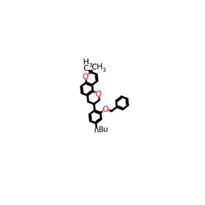 CCCCc1ccc(C2COc3c(ccc4c3C=CC(C)(C)O4)C2)c(OCc2ccccc2)c1